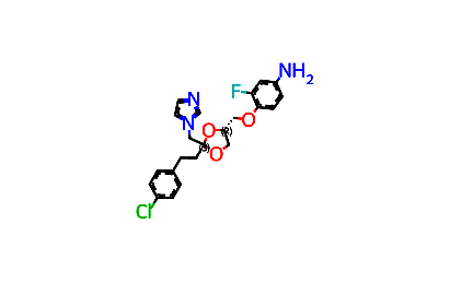 Nc1ccc(OC[C@@H]2CO[C@](CCc3ccc(Cl)cc3)(Cn3ccnc3)O2)c(F)c1